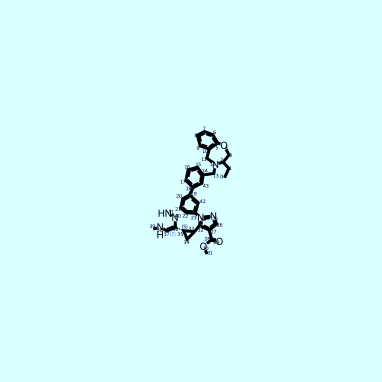 CCC1COc2ccccc2CN1Cc1cccc(-c2cccc(-n3ncc(C(=O)OC)c3C3C[C@@H]3/C(=C/NC)N=N)c2)c1